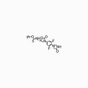 CC(C)OC(=S)NC[C@H]1CN(c2cc(F)c(N3CNC(=O)C3)c(F)c2)C(=O)O1